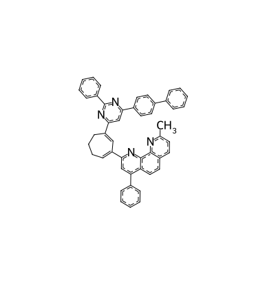 Cc1ccc2ccc3c(-c4ccccc4)cc(C4=CCCCC(c5cc(-c6ccc(-c7ccccc7)cc6)nc(-c6ccccc6)n5)=C4)nc3c2n1